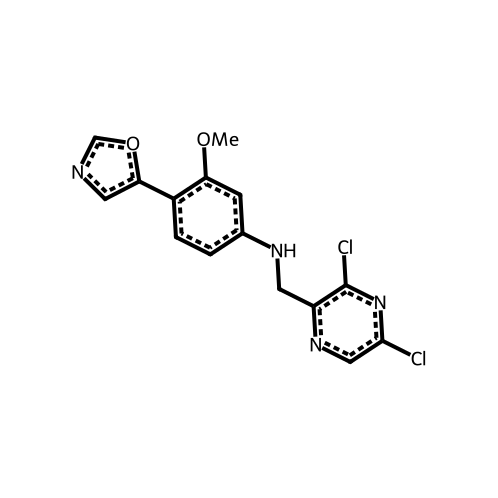 COc1cc(NCc2ncc(Cl)nc2Cl)ccc1-c1cnco1